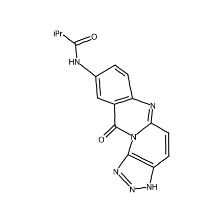 CC(C)C(=O)Nc1ccc2nc3ccc4[nH]nnc4n3c(=O)c2c1